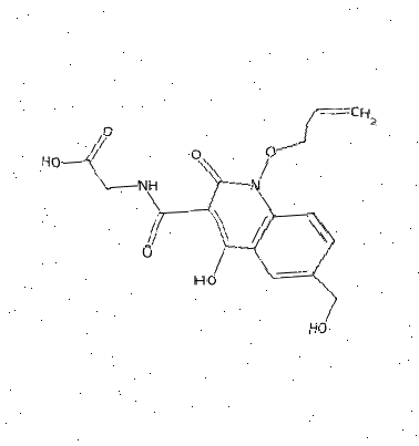 C=CCOn1c(=O)c(C(=O)NCC(=O)O)c(O)c2cc(CO)ccc21